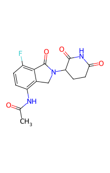 CC(=O)Nc1ccc(F)c2c1CN(C1CCC(=O)NC1=O)C2=O